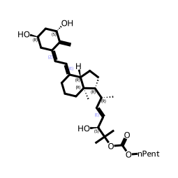 C=C1/C(=C\C=C2/CCC[C@]3(C)[C@@H]([C@H](C)/C=C/[C@H](O)C(C)(C)OC(=O)OCCCCC)CC[C@@H]23)C[C@@H](O)C[C@@H]1O